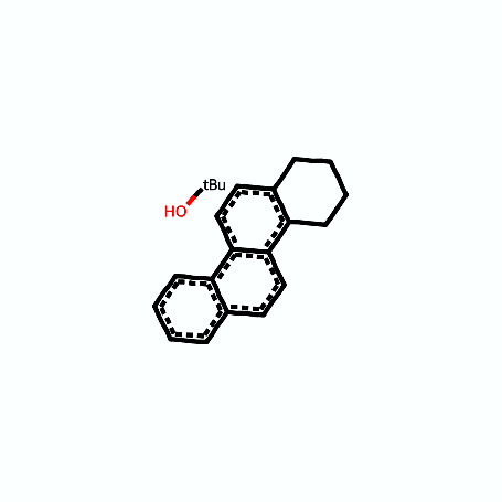 CC(C)(C)O.c1ccc2c(c1)ccc1c3c(ccc12)CCCC3